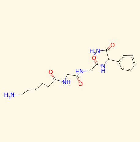 NCCCCCC(=O)NCC(=O)NCC(=O)N[C@H](C(N)=O)c1ccccc1